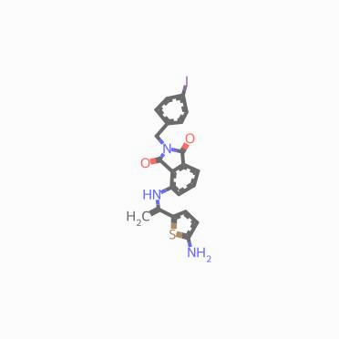 C=C(Nc1cccc2c1C(=O)N(Cc1ccc(I)cc1)C2=O)c1ccc(N)s1